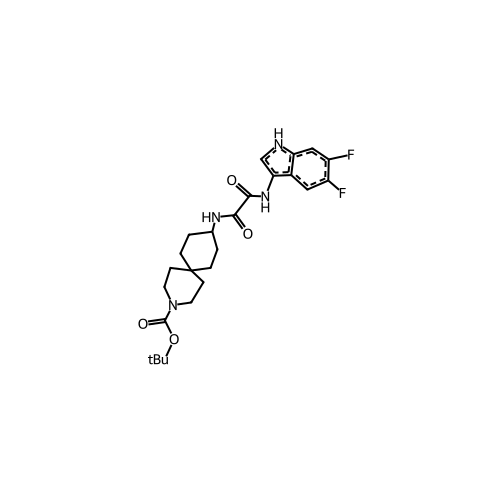 CC(C)(C)OC(=O)N1CCC2(CCC(NC(=O)C(=O)Nc3c[nH]c4cc(F)c(F)cc34)CC2)CC1